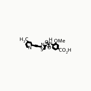 COc1cc(C(=O)O)ccc1NS(=O)(=O)c1csc(C#Cc2cc(C)ccn2)n1